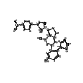 C[S@+]([O-])c1ccc(-c2cnc([C@@H]3CCc4cc(-c5cc(Cl)ccc5-n5cnnn5)cc(=O)n43)[nH]2)cc1